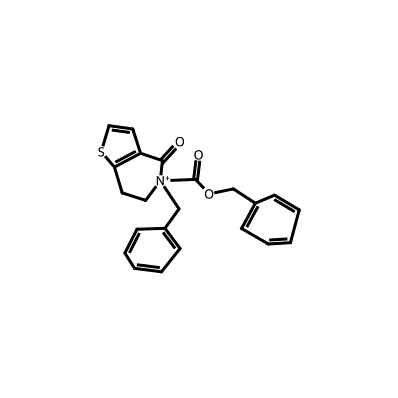 O=C(OCc1ccccc1)[N+]1(Cc2ccccc2)CCc2sccc2C1=O